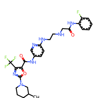 CC1CCCN(c2nc(C(F)(F)F)c(C(=O)Nc3ccc(NCCNCC(=O)Nc4ccccc4F)nc3)o2)C1